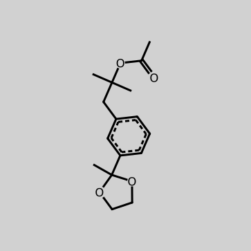 CC(=O)OC(C)(C)Cc1cccc(C2(C)OCCO2)c1